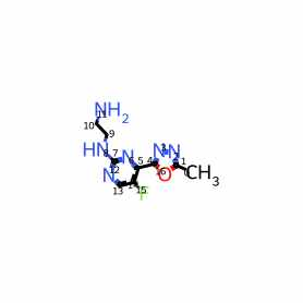 Cc1nnc(-c2nc(NCCN)ncc2F)o1